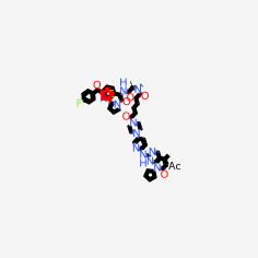 CC(=O)c1c(C)c2cnc(Nc3ccc(N4CCN(C(=O)CCCCC(=O)N(C)[C@@H](C)C(=O)N[C@H](C(=O)N5CCC[C@H]5c5nc(C(=O)c6ccc(F)cc6)cs5)C5CCCCC5)CC4)cn3)nc2n(C2CCCC2)c1=O